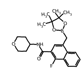 CC1(C)OB(Cc2cc(C(=O)NC3CCOCC3)c(F)c3ccccc23)OC1(C)C